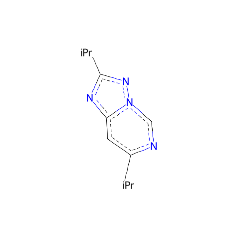 CC(C)c1cc2nc(C(C)C)nn2cn1